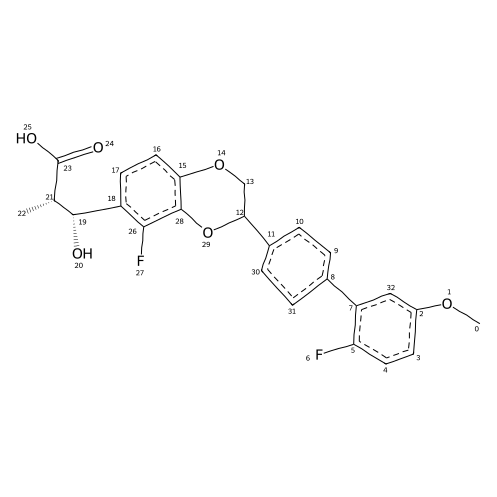 COc1ccc(F)c(-c2ccc(C3COc4ccc([C@H](O)[C@H](C)C(=O)O)c(F)c4O3)cc2)c1